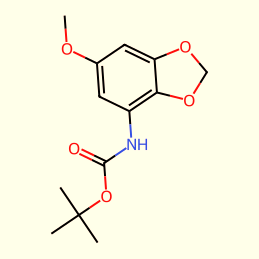 COc1cc(NC(=O)OC(C)(C)C)c2c(c1)OCO2